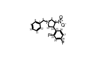 O=[N+]([O-])[C@@H]1CN(Cc2ccccc2)CC1c1ccc(F)cc1F